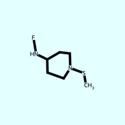 CSN1CCC(NF)CC1